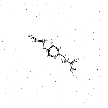 O=C(O)NCc1ccc(CN=C=S)cc1